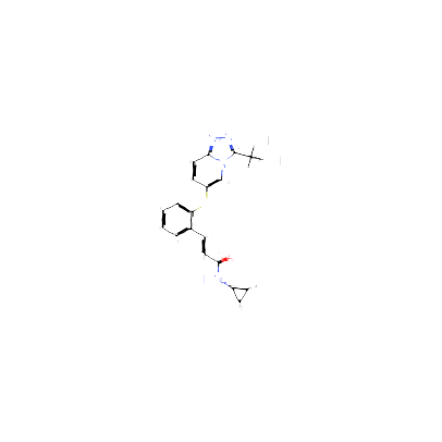 CC(C)(C)c1nnc2ccc(Sc3ccccc3C=CC(=O)NC3CC3)cn12